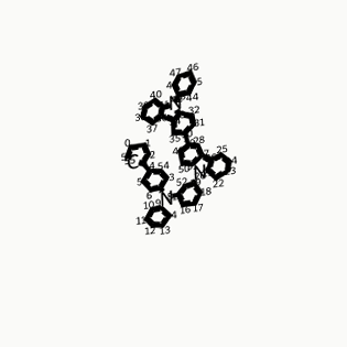 c1ccc(-c2ccc(N(c3ccccc3)c3cccc(-n4c5ccccc5c5cc(-c6ccc7c(c6)c6ccccc6n7-c6ccccc6)ccc54)c3)cc2)cc1